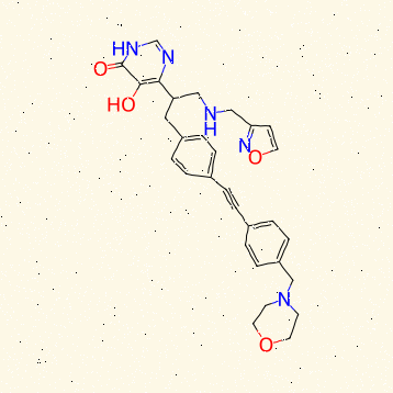 O=c1[nH]cnc(C(CNCc2ccon2)Cc2ccc(C#Cc3ccc(CN4CCOCC4)cc3)cc2)c1O